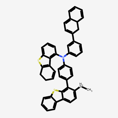 C[SiH2]c1ccc2c(sc3ccccc32)c1-c1ccc(N(c2cccc(C3=CC=C4C=CC=CC4C3)c2)c2cccc3sc4c(c23)C=CCC4)cc1